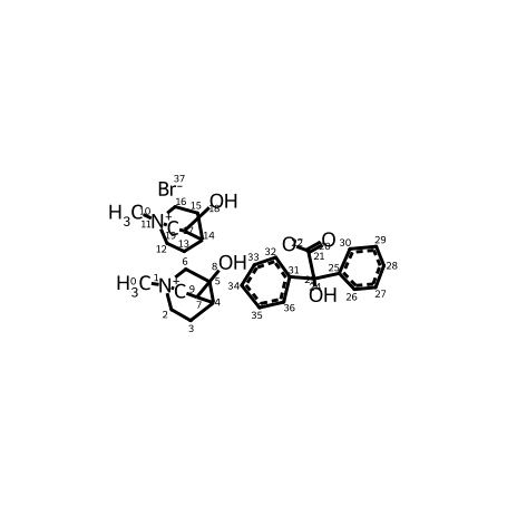 C[N+]12CCC(CC1)C(O)C2.C[N+]12CCC(CC1)C(O)C2.O=C([O-])C(O)(c1ccccc1)c1ccccc1.[Br-]